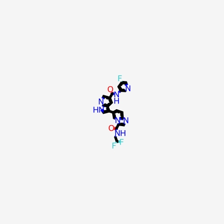 O=C(Nc1cncc(F)c1)c1cnc2[nH]cc(-c3ccc4ncc(C(=O)NCC(F)F)n4c3)c2c1